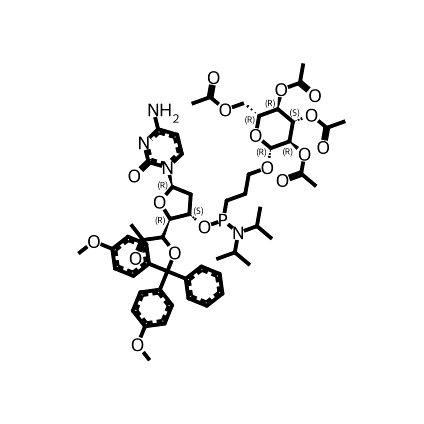 COc1ccc(C(OC(C(C)=O)[C@H]2O[C@@H](n3ccc(N)nc3=O)C[C@@H]2OP(CCCO[C@@H]2O[C@H](COC(C)=O)[C@@H](OC(C)=O)[C@H](OC(C)=O)[C@H]2OC(C)=O)N(C(C)C)C(C)C)(c2ccccc2)c2ccc(OC)cc2)cc1